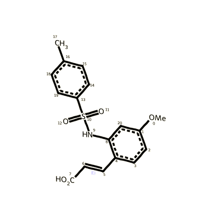 COc1ccc(/C=C/C(=O)O)c(NS(=O)(=O)c2ccc(C)cc2)c1